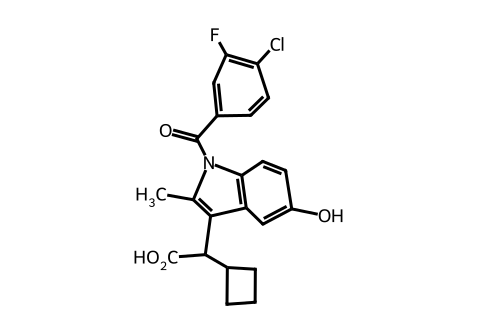 Cc1c(C(C(=O)O)C2CCC2)c2cc(O)ccc2n1C(=O)c1ccc(Cl)c(F)c1